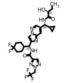 CC[C@H](O)C(=O)N[C@@H](c1cnn2cc([C@@H](NC(=O)c3cnn(CC(F)(F)F)n3)C3CCC(F)(F)CC3)nc2c1)C1CC1